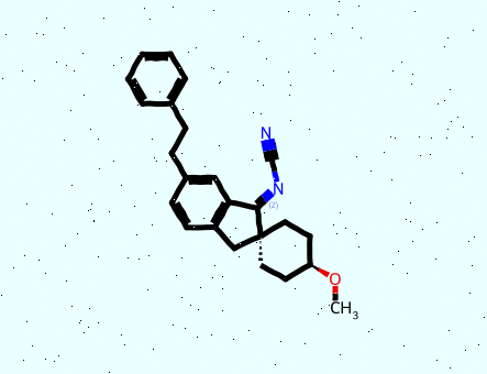 CO[C@H]1CC[C@]2(CC1)Cc1ccc(CCc3ccccc3)cc1/C2=N\C#N